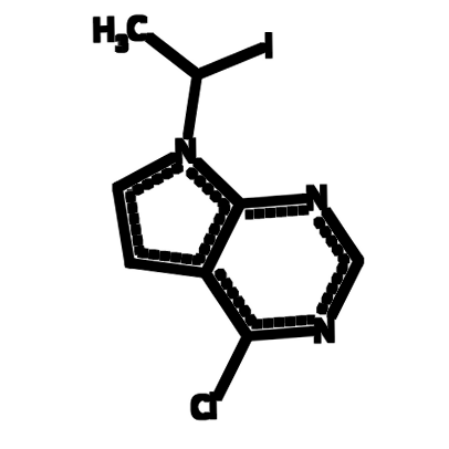 CC(I)n1ccc2c(Cl)ncnc21